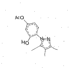 CC(=O)Oc1ccc(-n2nc(C)c(C)c2C)c(O)c1